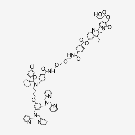 CCc1c2c(nc3ccc(OC(=O)c4ccc(C(=O)NCCOCCOCCNC(=O)c5ccc(CN(CCCCOc6cc(CN(Cc7ccccn7)Cc7ccccn7)cc(CN(Cc7ccccn7)Cc7ccccn7)c6)C(=O)C6(c7ccc(Cl)cc7)CCCCC6)cc5)cc4)cc13)-c1cc3c(c(=O)n1C2)COC(=O)[C@]3(O)CC